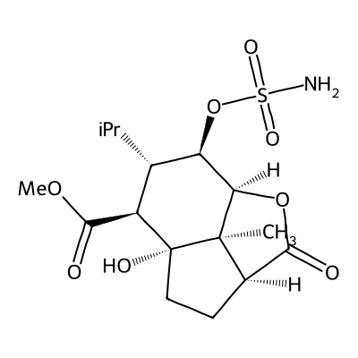 COC(=O)[C@H]1[C@H](C(C)C)[C@@H](OS(N)(=O)=O)[C@H]2OC(=O)[C@H]3CC[C@]1(O)[C@]32C